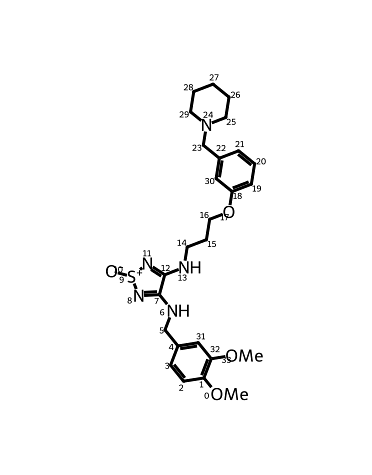 COc1ccc(CNc2n[s+]([O-])nc2NCCCOc2cccc(CN3CCCCC3)c2)cc1OC